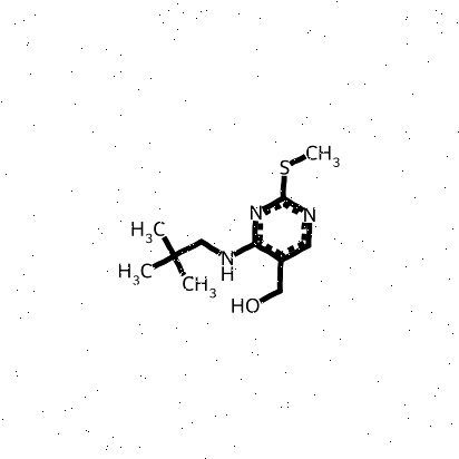 CSc1ncc(CO)c(NCC(C)(C)C)n1